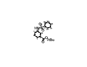 CC(C)(C)OC(=O)c1cccc(NS(=O)(=O)c2cccnc2)c1